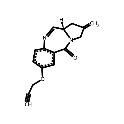 C#CCOc1ccc2c(c1)C(=O)N1CC(=C)C[C@H]1C=N2